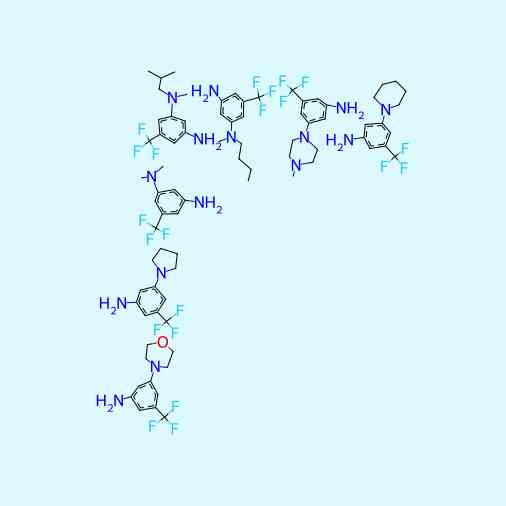 CC(C)CN(C)c1cc(N)cc(C(F)(F)F)c1.CCCCN(C)c1cc(N)cc(C(F)(F)F)c1.CN(C)c1cc(N)cc(C(F)(F)F)c1.CN1CCN(c2cc(N)cc(C(F)(F)F)c2)CC1.Nc1cc(N2CCCC2)cc(C(F)(F)F)c1.Nc1cc(N2CCCCC2)cc(C(F)(F)F)c1.Nc1cc(N2CCOCC2)cc(C(F)(F)F)c1